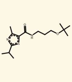 Cc1nc(C(C)C)sc1C(=O)NCCCOC(C)(C)C